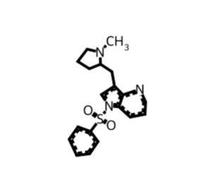 CN1CCCC1Cc1cn(S(=O)(=O)c2ccccc2)c2cccnc12